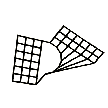 C1C2C3C4C5C6C7CC8C9C%10C%11C%12CC%13C%14C(C%15C%16C%17CC%18C%19C%20C%21C1C21C32C4C3C4C%22C%15C%16%15C%17%18C%19%16C%22%15C4%15C32C%211C%20%16%15)C1C2C3C4C5C65C78C96C45C34C23C%141C%13%12C%113C%1064